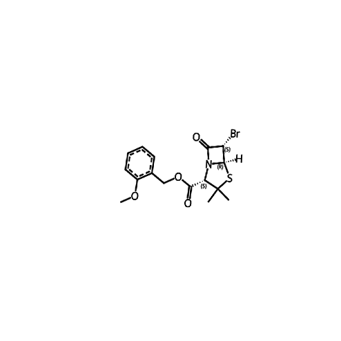 COc1ccccc1COC(=O)[C@@H]1N2C(=O)[C@H](Br)[C@H]2SC1(C)C